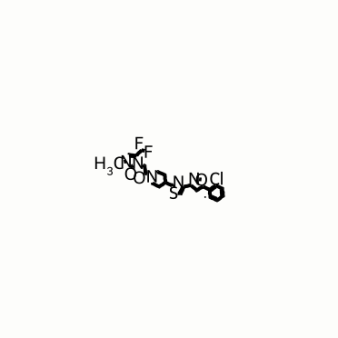 Cn1cc(C(F)F)n(CC(=O)N2CCC(c3nc(C4=NOC(c5[c]cccc5Cl)C4)cs3)CC2)c1=O